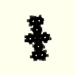 c1ccc(-c2ccc(N3c4ccccc4N(c4ccc(-c5ccccc5)cc4)[Si]34N(c3ccc(-c5ccccc5)cc3)c3ccccc3N4c3ccc(-c4ccccc4)cc3)cc2)cc1